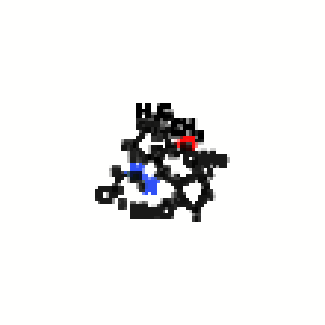 COc1cccc(OC)c1-c1nn(CC(F)(F)F)c2c1C(=O)C(C)(C)CC2